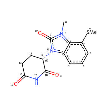 CSc1cccc2c1n(C)c(=O)n2[C@H]1CCC(=O)NC1=O